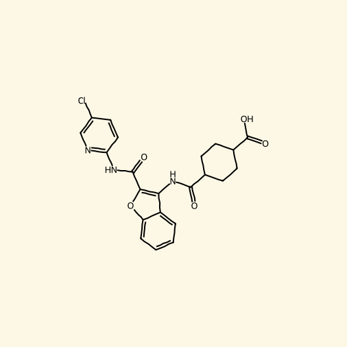 O=C(Nc1ccc(Cl)cn1)c1oc2ccccc2c1NC(=O)C1CCC(C(=O)O)CC1